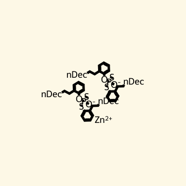 CCCCCCCCCCCCc1ccccc1OP([O-])(=S)Sc1ccccc1CCCCCCCCCCCC.CCCCCCCCCCCCc1ccccc1OP([O-])(=S)Sc1ccccc1CCCCCCCCCCCC.[Zn+2]